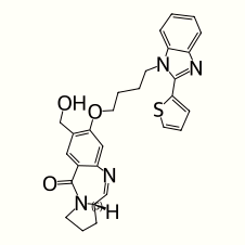 O=C1c2cc(CO)c(OCCCCn3c(-c4cccs4)nc4ccccc43)cc2N=C[C@@H]2CCCN12